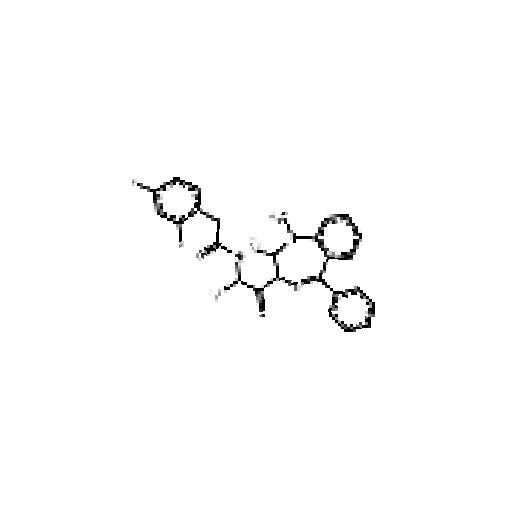 CC(NC(=O)Cc1ccc(F)cc1F)C(=O)C1N=C(c2ccccc2)c2ccccc2N(C)[C@@H]1N